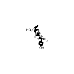 CC=CC1(C(=O)O)CS[C@@H]2C(NC(=O)C(N)c3ccc(O)cc3)C(=O)N2C1